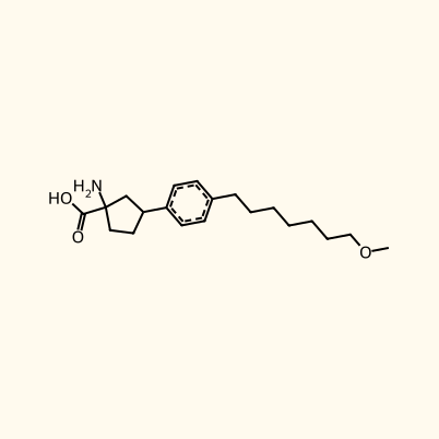 COCCCCCCCc1ccc(C2CCC(N)(C(=O)O)C2)cc1